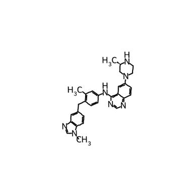 Cc1cc(Nc2ncnc3ccc(N4CCN[C@H](C)C4)cc23)ccc1Cc1ccc2c(c1)ncn2C